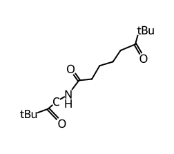 CC(C)(C)C(=O)CCCCC(=O)NCC(=O)C(C)(C)C